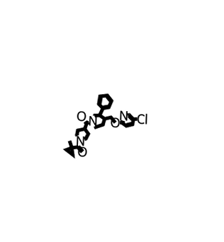 CC1(C(=O)N2CCC(C(=O)N3CCC(COc4ccc(Cl)cn4)C(c4ccccc4)C3)CC2)CC1